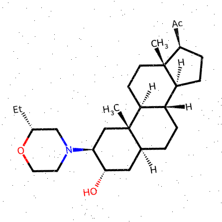 CC[C@@H]1CN([C@H]2C[C@@]3(C)[C@@H](CC[C@@H]4[C@@H]3CC[C@]3(C)[C@@H](C(C)=O)CC[C@@H]43)C[C@@H]2O)CCO1